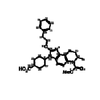 COC(=O)N1c2ccc3c(nc(OCCc4ccccc4)n3C3CCC(C(=O)O)CC3)c2CCC1C